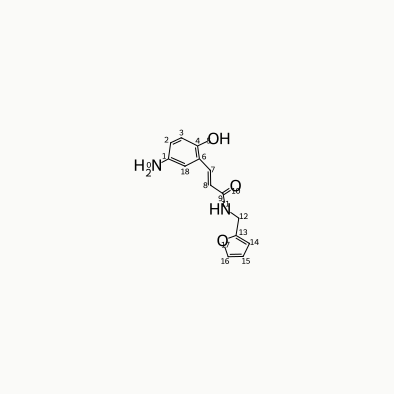 Nc1ccc(O)c(C=CC(=O)NCc2ccco2)c1